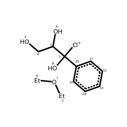 CCOCC.OCC(O)C(O)(Cl)c1ccccc1